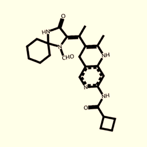 CC1=C(/C(C)=C2/C(=O)NC3(CCCCC3)N2C=O)Cc2cnc(NC(=O)C3CCC3)cc2N1